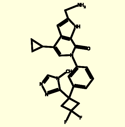 Cn1cnnc1C1(c2cccc(-n3cc(C4CC4)c4cc(CN)[nH]c4c3=O)c2)CC(F)(F)C1